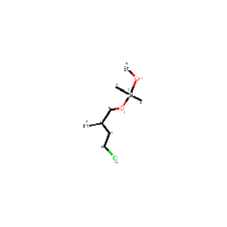 CCO[Si](C)(C)OCC(CC)CCCl